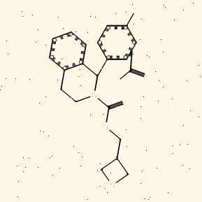 CC(=O)O[C@@]1(c2ccc(F)cc2)c2ccccc2CCN1C(=O)NCC1CNC1